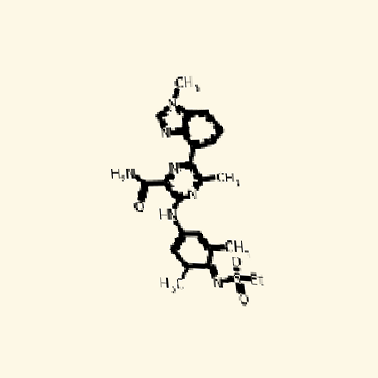 CCS(=O)(=O)N=C1C(C)=CC(Nc2nc(C)c(-c3cccc4c3ncn4C)nc2C(N)=O)=C[C@@H]1C